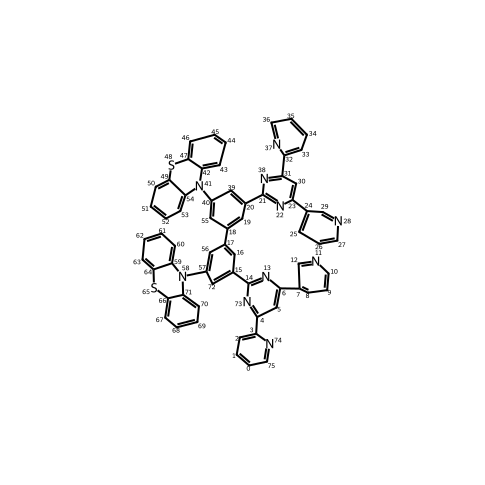 c1ccc(-c2cc(-c3cccnc3)nc(-c3cc(-c4cc(-c5nc(-c6cccnc6)cc(-c6ccccn6)n5)cc(N5c6ccccc6Sc6ccccc65)c4)cc(N4c5ccccc5Sc5ccccc54)c3)n2)nc1